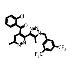 Cc1cc(C(=O)c2ccccc2Cl)c(-c2nnn(Cc3cc(C(F)(F)F)cc(C(F)(F)F)c3)c2C)nn1